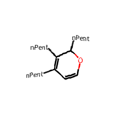 CCCCCC1=C(CCCCC)C(CCCCC)OC=C1